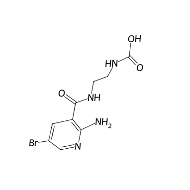 Nc1ncc(Br)cc1C(=O)NCCNC(=O)O